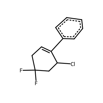 FC1(F)CC=C(c2ccccc2)C(Cl)C1